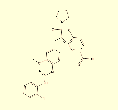 COc1cc(CC(=O)C(Cl)(Oc2ccc(C(=O)O)cc2)N2CCCC2)ccc1NC(=O)Nc1ccccc1Cl